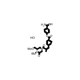 COCCCN(CC(=O)OC(C)(C)C)C(=O)C(C)=Cc1ccc(C(=O)Oc2ccc(C(=N)N)cc2)cc1.Cl